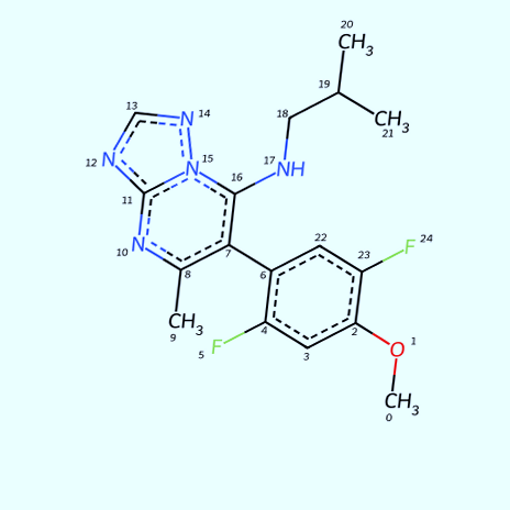 COc1cc(F)c(-c2c(C)nc3ncnn3c2NCC(C)C)cc1F